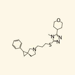 Cn1c(SCCCN2CC[C@]3(CC3c3ccccc3)C2)nnc1C1CCOCC1